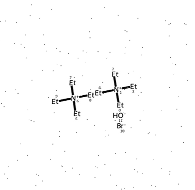 CC[N+](CC)(CC)CC.CC[N+](CC)(CC)CC.[Br-].[OH-]